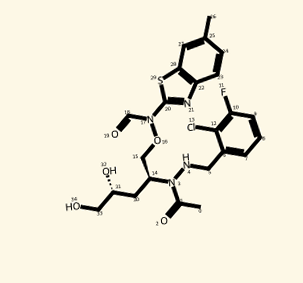 CC(=O)N(NCc1cccc(F)c1Cl)[C@H](CON(C=O)c1nc2ccc(C)cc2s1)C[C@@H](O)CO